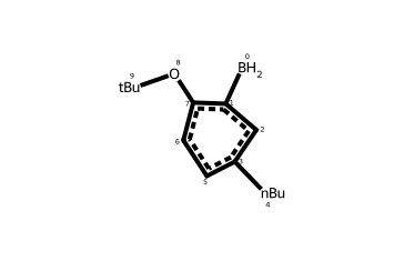 Bc1cc(CCCC)ccc1OC(C)(C)C